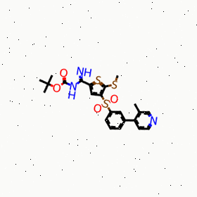 CSc1sc(C(=N)NC(=O)OC(C)(C)C)cc1S(=O)(=O)c1cccc(-c2ccncc2C)c1